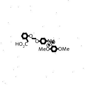 COc1ccc(OC)c(S(=O)(=O)Nc2ccc(OCCOc3ccccc3CC(=O)O)cc2)c1